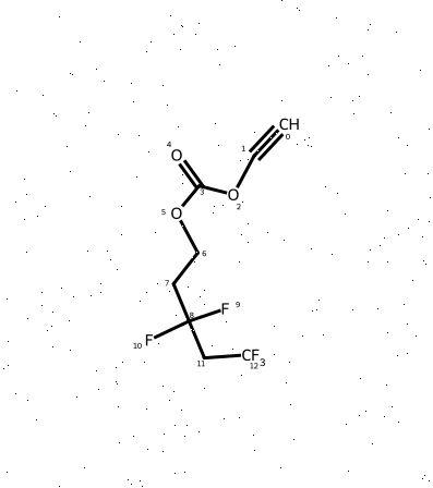 C#COC(=O)OCCC(F)(F)CC(F)(F)F